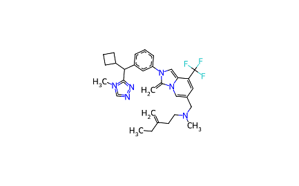 C=C(CC)CCN(C)CC1=CN2C(=C)N(c3cccc(C(c4nncn4C)C4CCC4)c3)C=C2C(C(F)(F)F)=C1